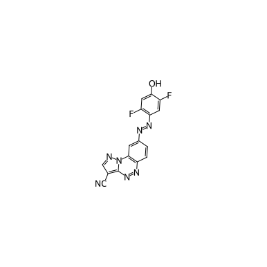 N#Cc1cnn2c1nnc1ccc(/N=N/c3cc(F)c(O)cc3F)cc12